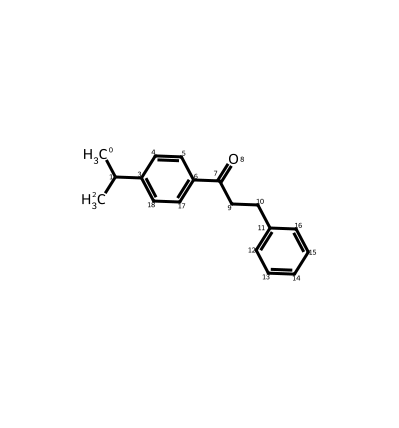 CC(C)c1ccc(C(=O)CCc2ccccc2)cc1